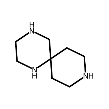 C1CC2(CCN1)CNCCN2